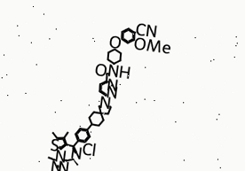 COc1cc(OC2CCC(NC(=O)c3ccc(N4CCC5(CCC(c6ccc(C7=N[C@@H](C)c8nnc(C)n8-c8sc(C)c(C)c87)c(Cl)c6)CC5)C4)nn3)CC2)ccc1C#N